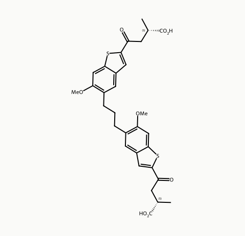 COc1cc2sc(C(=O)C[C@H](C)C(=O)O)cc2cc1CCCc1cc2cc(C(=O)C[C@H](C)C(=O)O)sc2cc1OC